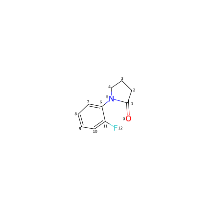 O=C1CCCN1c1ccccc1F